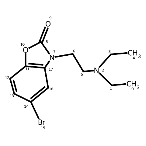 CCN(CC)CCn1c(=O)oc2ccc(Br)cc21